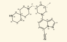 C[C@@H]1CN(c2ccc(C#N)n3nccc23)C[C@H](CN2CCC3(CC2)CNCCO3)O1